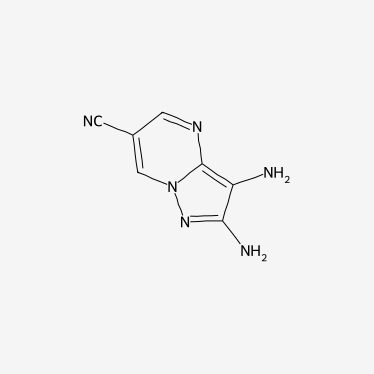 N#Cc1cnc2c(N)c(N)nn2c1